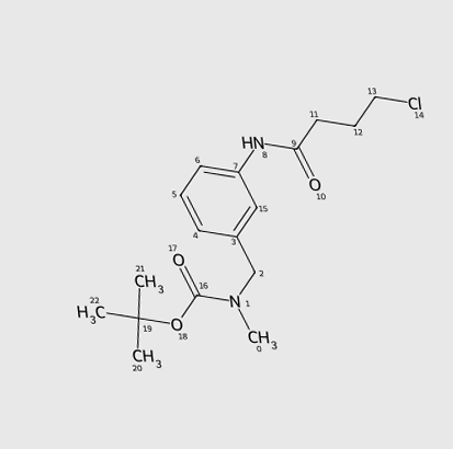 CN(Cc1cccc(NC(=O)CCCCl)c1)C(=O)OC(C)(C)C